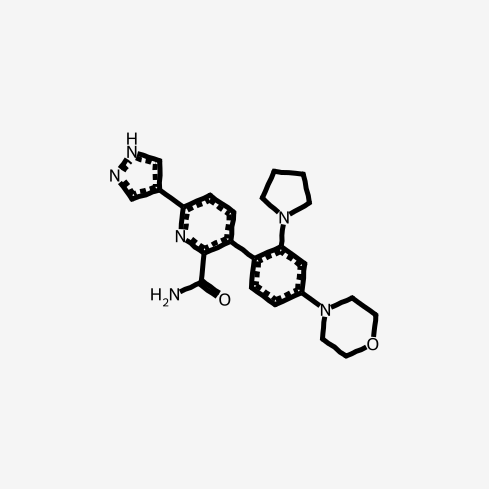 NC(=O)c1nc(-c2cn[nH]c2)ccc1-c1ccc(N2CCOCC2)cc1N1CCCC1